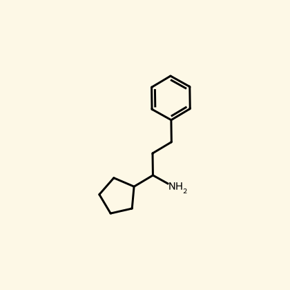 NC(CCc1ccccc1)C1CCCC1